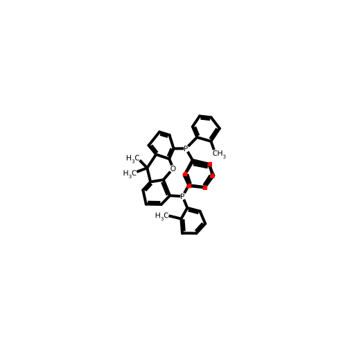 Cc1ccccc1P(c1ccccc1)c1cccc2c1Oc1c(P(c3ccccc3)c3ccccc3C)cccc1C2(C)C